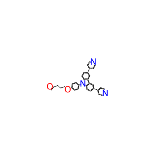 c1cc(-c2ccc3c(c2)c2cc(-c4ccncc4)ccc2n3-c2ccc(OCCCC3CO3)cc2)ccn1